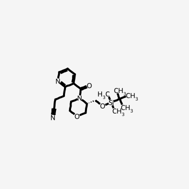 CC(C)(C)[Si](C)(C)OC[C@@H]1COCCN1C(=O)c1cccnc1CCC#N